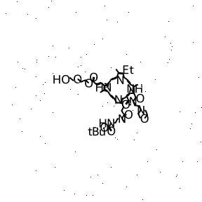 CCC1=C(C)c2cc3[nH]c(cc4nc(c5c6[nH]c(cc1n2)c(C)c6C(=O)N(CCN1CCOCC1)C5=O)[C@@H](CCC(=O)N(C)CCNC(=O)OC(C)(C)C)[C@@H]4C)c(C)c3/C=C/C(=O)OCCOCCO